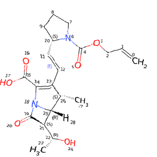 C=CCOC(=O)N1CCC[C@H]1/C=C/C1=C(C(=O)O)N2C(=O)[C@H]([C@@H](C)O)[C@H]2[C@H]1C